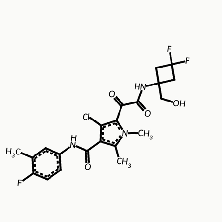 Cc1cc(NC(=O)c2c(Cl)c(C(=O)C(=O)NC3(CO)CC(F)(F)C3)n(C)c2C)ccc1F